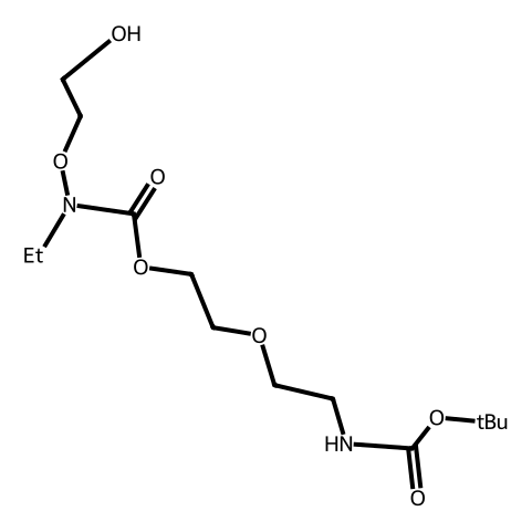 CCN(OCCO)C(=O)OCCOCCNC(=O)OC(C)(C)C